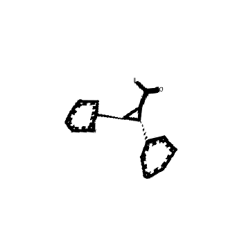 O=C(I)C1[C@H](c2ccccc2)[C@H]1c1ccccc1